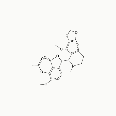 COc1ccc2c(c1OC(C)=O)C(=O)OC2C1c2c(cc3c(c2OC)OCO3)CCN1C